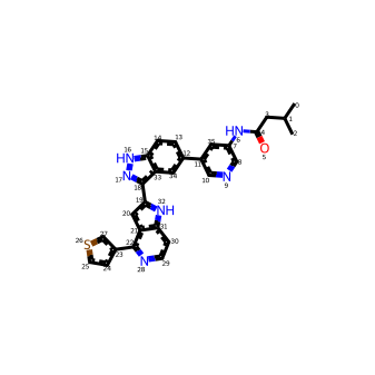 CC(C)CC(=O)Nc1cncc(-c2ccc3[nH]nc(-c4cc5c(-c6ccsc6)nccc5[nH]4)c3c2)c1